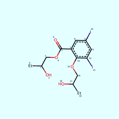 CCC(O)COC(=O)c1cc(I)cc(I)c1OCC(O)CC